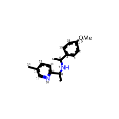 COc1ccc(C(C)NC(C)c2ccc(C)cn2)cc1